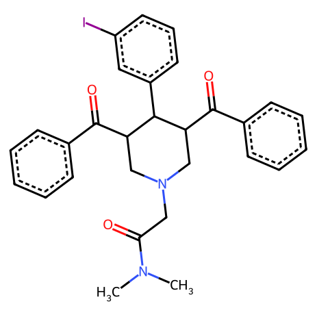 CN(C)C(=O)CN1CC(C(=O)c2ccccc2)C(c2cccc(I)c2)C(C(=O)c2ccccc2)C1